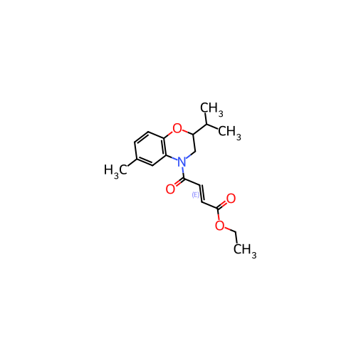 CCOC(=O)/C=C/C(=O)N1CC(C(C)C)Oc2ccc(C)cc21